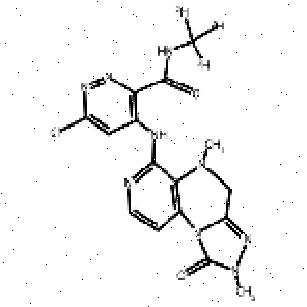 [2H]C([2H])([2H])NC(=O)c1nnc(Cl)cc1Nc1nccc2c1N(C)Cc1nn(C)c(=O)n1-2